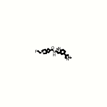 Cn1cc(-c2ccc3nnc(NC(=O)C4CC5(CCN(CCF)CC5)C4)cc3c2)cn1